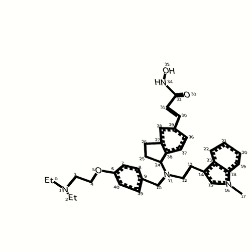 CCN(CC)CCOc1ccc(CN(CCc2cn(C)c3ccccc23)C2CCc3cc(/C=C/C(=O)NO)ccc32)cc1